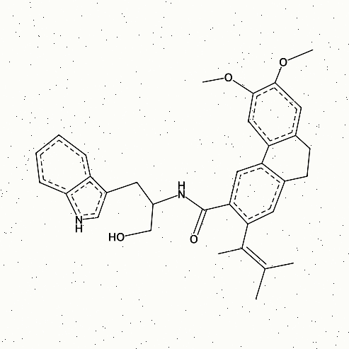 COc1cc2c(cc1OC)-c1cc(C(=O)NC(CO)Cc3c[nH]c4ccccc34)c(C(C)=C(C)C)cc1CC2